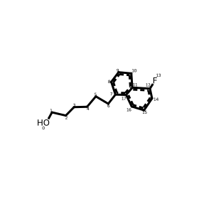 OCCCCCCc1cccc2c(F)cccc12